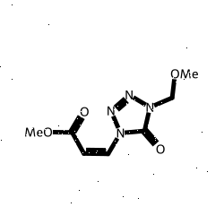 COCn1nnn(/C=C\C(=O)OC)c1=O